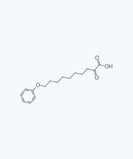 O=C(O)C(=O)CCCCCCCCOc1ccccc1